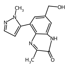 Cc1nc2c(-c3ccnn3C)cc(CO)cc2[nH]c1=O